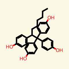 CCCCCCC(c1ccc(O)cc1)C(c1ccc(O)cc1)(c1ccc(O)cc1)c1ccc(O)cc1